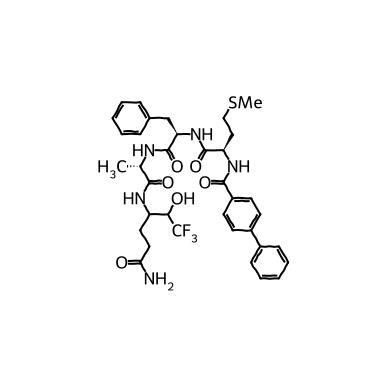 CSCC[C@@H](NC(=O)c1ccc(-c2ccccc2)cc1)C(=O)N[C@H](Cc1ccccc1)C(=O)N[C@@H](C)C(=O)NC(CCC(N)=O)C(O)C(F)(F)F